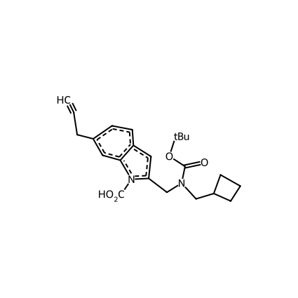 C#CCc1ccc2cc(CN(CC3CCC3)C(=O)OC(C)(C)C)n(C(=O)O)c2c1